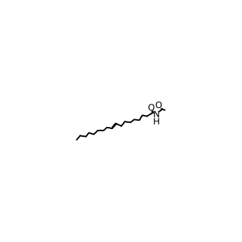 CCCCCCCCC=CCCCCCCCC(=O)NC(C)=O